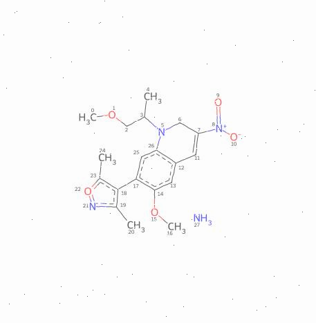 COCC(C)N1CC([N+](=O)[O-])=Cc2cc(OC)c(-c3c(C)noc3C)cc21.N